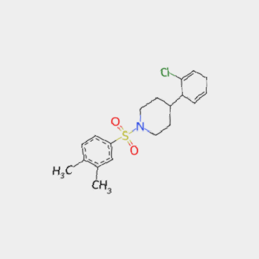 Cc1ccc(S(=O)(=O)N2CCC(C3C=CCC=C3Cl)CC2)cc1C